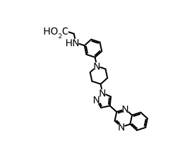 O=C(O)CNc1cccc(N2CCC(n3cc(-c4cnc5ccccc5n4)cn3)CC2)c1